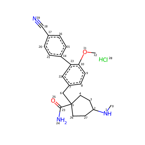 CNC1CCC(Cc2ccc(OC)c(-c3ccc(C#N)cc3)c2)(C(N)=O)CC1.Cl